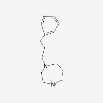 c1ccc(CCCN2CCC[N]CC2)cc1